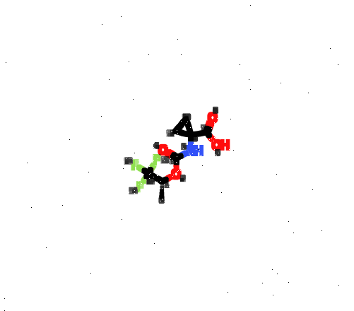 C[C@@H](OC(=O)NC1(C(=O)O)CC1)C(F)(F)F